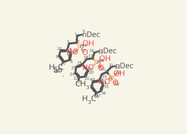 CCCCCCCCCCCC(Cc1ccc(C)cc1)P(=O)(O)O.CCCCCCCCCCCC(Cc1ccc(C)cc1)P(=O)(O)O.CCCCCCCCCCCC(Cc1ccc(C)cc1)P(=O)(O)O.[Sb]